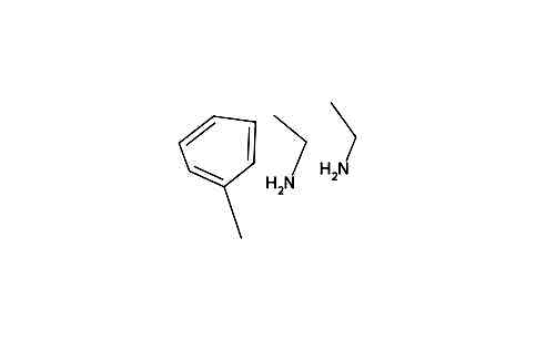 CCN.CCN.Cc1ccccc1